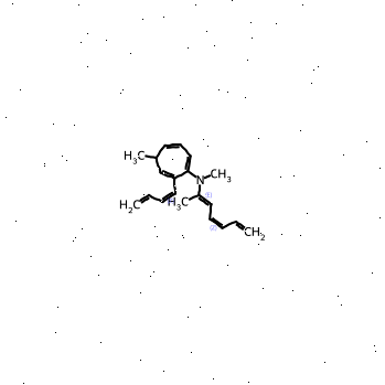 C=C/C=C\C=C(/C)N(C)C1=CC=CC(C)C=C1/C=C\C=C